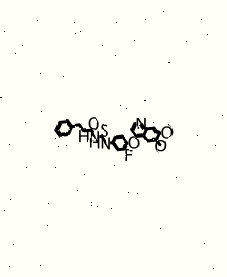 COc1cc2nccc(Oc3ccc(NC(=S)NC(=O)CCc4ccccc4)cc3F)c2cc1OC